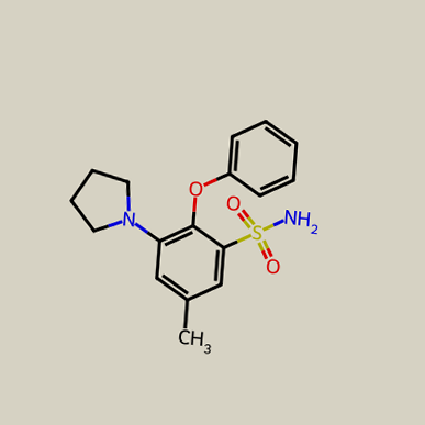 Cc1cc(N2CCCC2)c(Oc2ccccc2)c(S(N)(=O)=O)c1